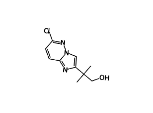 CC(C)(CO)c1cn2nc(Cl)ccc2n1